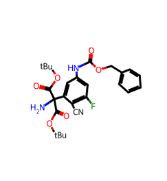 CC(C)(C)OC(=O)C(N)(C(=O)OC(C)(C)C)c1cc(NC(=O)OCc2ccccc2)cc(F)c1C#N